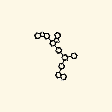 c1ccc(-c2cc(-c3ccc(-c4ccc(-c5ccc6sc7ccccc7c6c5)c5c4oc4ccccc45)cc3)nc(-c3ccc(-c4cccc5ncccc45)cc3)n2)cc1